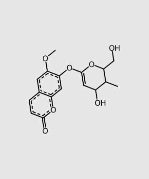 COc1cc2ccc(=O)oc2cc1OC1=CC(O)C(C)C(CO)O1